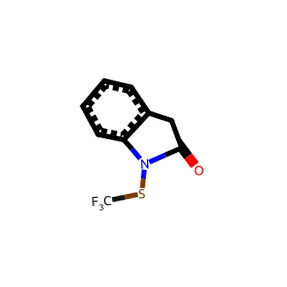 O=C1Cc2ccccc2N1SC(F)(F)F